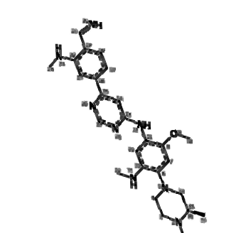 CCN1CCN(c2cc(OC)c(Nc3cc(-c4ccc(C=N)c(NC)c4)ncn3)cc2NC)C[C@H]1C